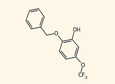 Oc1cc(OC(F)(F)F)ccc1OCc1ccccc1